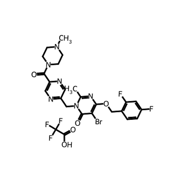 Cc1nc(OCc2ccc(F)cc2F)c(Br)c(=O)n1Cc1cnc(C(=O)N2CCN(C)CC2)cn1.O=C(O)C(F)(F)F